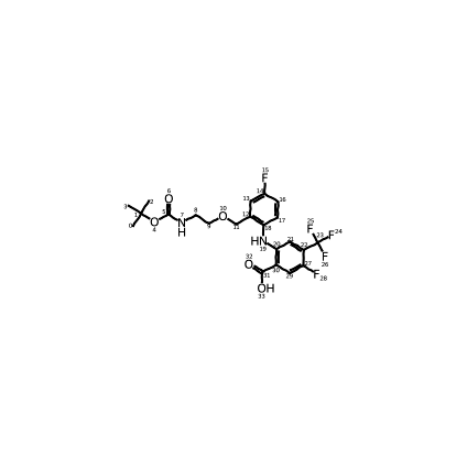 CC(C)(C)OC(=O)NCCOCc1cc(F)ccc1Nc1cc(C(F)(F)F)c(F)cc1C(=O)O